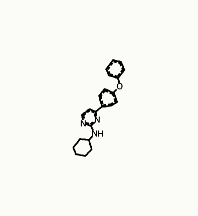 c1ccc(Oc2ccc(-c3ccnc(NC4CCCCC4)n3)cc2)cc1